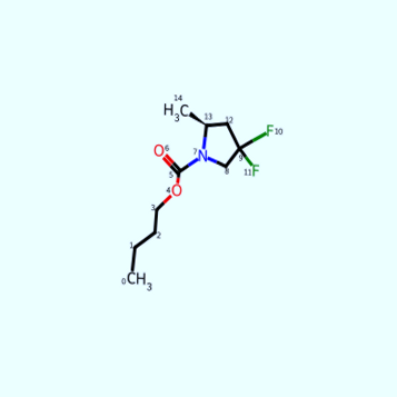 CCCCOC(=O)N1CC(F)(F)C[C@@H]1C